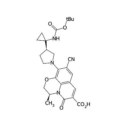 C[C@H]1COc2c(N3CC[C@@H](C4(NC(=O)OC(C)(C)C)CC4)C3)c(C#N)cc3cc(C(=O)O)c(=O)n1c23